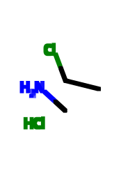 CCCl.CN.Cl